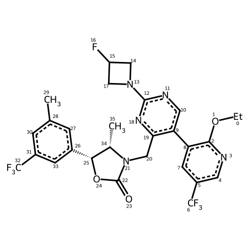 CCOc1ncc(C(F)(F)F)cc1-c1cnc(N2CC(F)C2)nc1CN1C(=O)O[C@H](c2cc(C)cc(C(F)(F)F)c2)[C@@H]1C